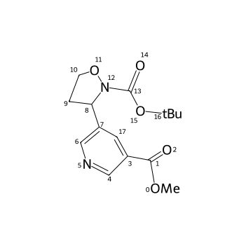 COC(=O)c1cncc(C2CCON2C(=O)OC(C)(C)C)c1